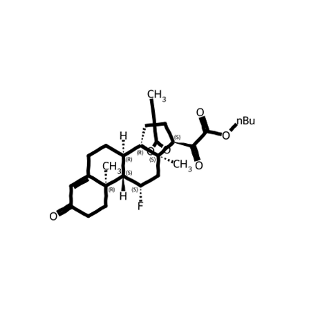 CCCCOC(=O)C(=O)[C@@]12CC[C@@]3(OC(C)O1)[C@@H]1CCC4=CC(=O)CC[C@]4(C)[C@H]1[C@@H](F)C[C@]23C